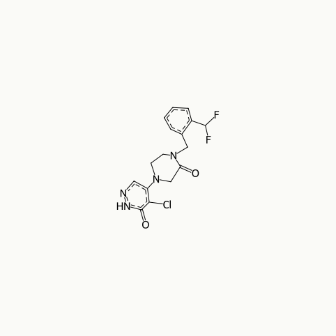 O=C1CN(c2cn[nH]c(=O)c2Cl)CCN1Cc1ccccc1C(F)F